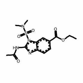 CCOC(=O)c1ccc2nc(NC(C)=O)n(S(=O)(=O)N(C)C)c2c1